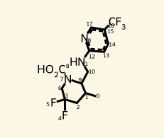 CC1CC(F)(F)CN(C(=O)O)C1CNc1ccc(C(F)(F)F)cn1